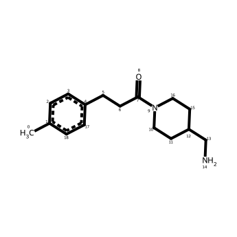 Cc1ccc(CCC(=O)N2CCC(CN)CC2)cc1